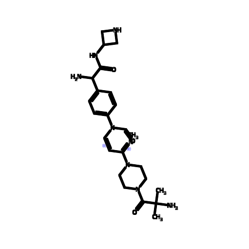 C/N=C(\C=C/N(C=O)c1ccc(C(N)C(=O)NC2CNC2)cc1)N1CCN(C(=O)C(C)(C)N)CC1